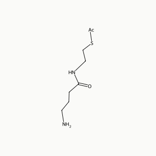 CC(=O)SCCNC(=O)CCCN